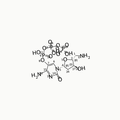 NC[C@H]1O[C@@H](n2cc(OP(=O)(O)OP(=O)(O)OP(=O)(O)O)c(N)nc2=O)C[C@@H]1O